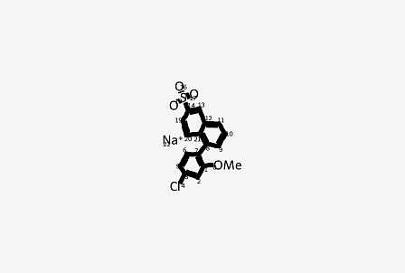 COc1cc(Cl)ccc1-c1cccc2cc(S(=O)(=O)[O-])ccc12.[Na+]